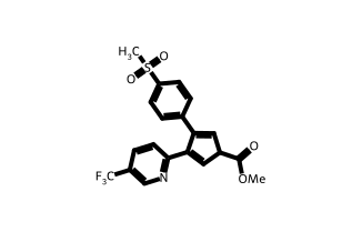 COC(=O)C1C=C(c2ccc(S(C)(=O)=O)cc2)C(c2ccc(C(F)(F)F)cn2)=C1